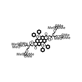 CO[Si](COCCN(CCOC[Si](OC)(OC)OC)C(=O)CN1C(=O)c2cc(Oc3ccccc3)c3c4c(Oc5ccccc5)cc5c6c(cc(Oc7ccccc7)c(c7c(Oc8ccccc8)cc(c2c37)C1=O)c64)C(=O)N(CC(=O)N(CCOC[Si](OC)(OC)OC)CCOC[Si](OC)(OC)OC)C5=O)(OC)OC